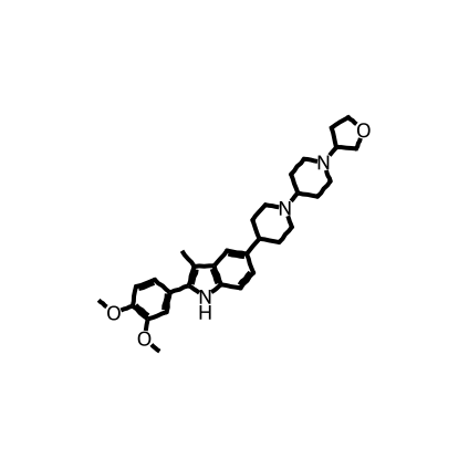 COc1ccc(-c2[nH]c3ccc(C4CCN(C5CCN(C6CCOC6)CC5)CC4)cc3c2C)cc1OC